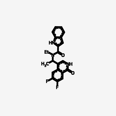 CCN(C(=O)c1cc2ccccc2[nH]1)C(C)c1c[nH]c(=O)c2cc(F)c(F)cc12